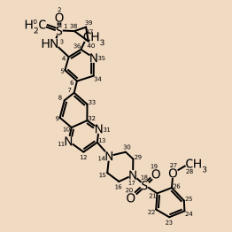 C=S(=O)(Nc1cc(-c2ccc3ncc(N4CCN(S(=O)(=O)c5ccccc5OC)CC4)nc3c2)cnc1C)C1CC1